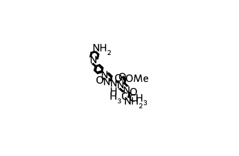 COC(=O)C1CN(C(=O)C(C)(C)N)CCN1C(=O)Nc1ccn(-c2ccc(CN3CCC(N)CC3)cc2)c(=O)n1